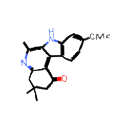 COc1ccc2c(c1)[nH]c1c(C)nc3c(c12)C(=O)CC(C)(C)C3